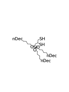 CCCCCCCCCCCCCCO[Si](CC(S)CS)(OCCCCCCCCCCCCCC)OCCCCCCCCCCCCCC